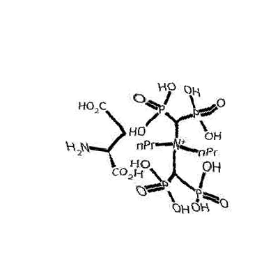 CCC[N+](CCC)(C(P(=O)(O)O)P(=O)(O)O)C(P(=O)(O)O)P(=O)(O)O.N[C@@H](CC(=O)O)C(=O)O